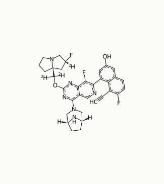 [2H]C([2H])(Oc1nc(N2C[C@H]3CC[C@@H](C2)N3)c2cnc(-c3cc(O)cc4ccc(F)c(C#C)c34)c(F)c2n1)[C@@]12CCCN1C[C@]([2H])(F)C2